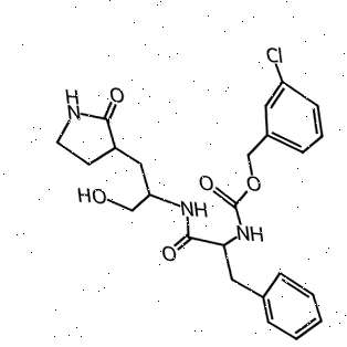 O=C(NC(Cc1ccccc1)C(=O)NC(CO)CC1CCNC1=O)OCc1cccc(Cl)c1